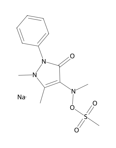 Cc1c(N(C)OS(C)(=O)=O)c(=O)n(-c2ccccc2)n1C.[Na]